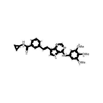 COc1cc(Nc2ncnc3c(C=Cc4cccc(C(=O)NC5CC5)c4)csc23)cc(OC)c1OC